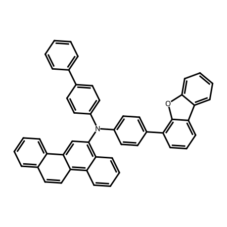 c1ccc(-c2ccc(N(c3ccc(-c4cccc5c4oc4ccccc45)cc3)c3cc4c5ccccc5ccc4c4ccccc34)cc2)cc1